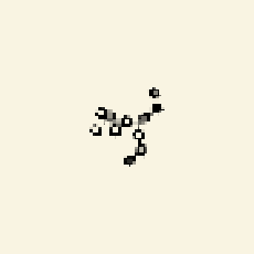 c1ccc(-c2cccc(-c3ccc(N(c4ccc(-c5cccc(-c6ccccc6)c5)cc4)c4cccc(-c5cccc6c5c5ccc7ccccc7c5n6-c5ccccc5)c4)cc3)c2)cc1